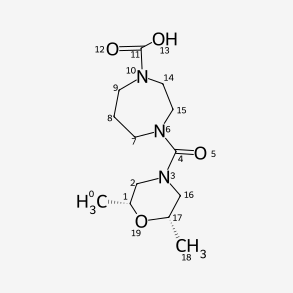 C[C@@H]1CN(C(=O)N2CCCN(C(=O)O)CC2)C[C@H](C)O1